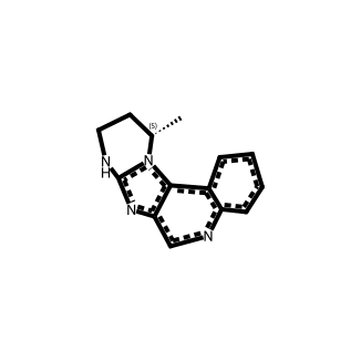 C[C@H]1CCNc2nc3cnc4ccccc4c3n21